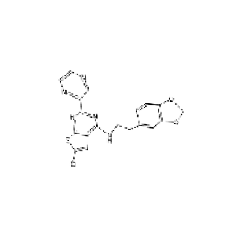 Clc1cc2c(NCCc3ccc4c(c3)OCO4)nc(-c3cnccn3)nc2s1